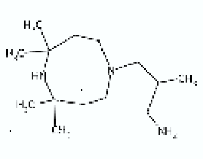 CC(CN)CN1CCC(C)(C)NC(C)(C)CC1